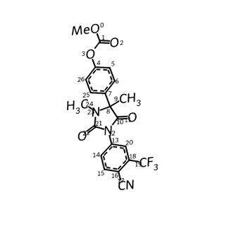 COC(=O)Oc1ccc(C2(C)C(=O)N(c3ccc(C#N)c(C(F)(F)F)c3)C(=O)N2C)cc1